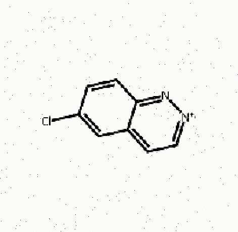 Clc1ccc2c(c1)=CC=[N+]N=2